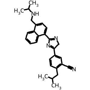 CC(C)Cc1ccc(C2=NC(c3ccc(CNC(C)C)c4ccccc34)=NC2)cc1C#N